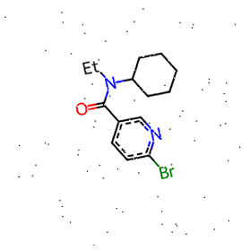 CCN(C(=O)c1ccc(Br)nc1)C1CCCCC1